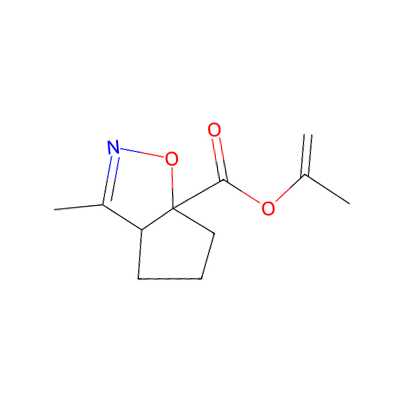 C=C(C)OC(=O)C12CCCC1C(C)=NO2